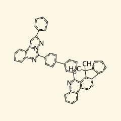 CC1(C)c2ccccc2-c2ccc3c(c(-c4cccc(-c5ccc(-c6nc7ccccc7c7cc(-c8ccccc8)nn67)cc5)c4)nc4ccccc43)c21